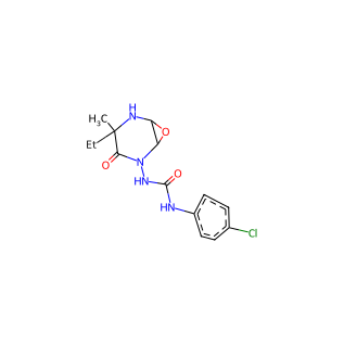 CCC1(C)NC2OC2N(NC(=O)Nc2ccc(Cl)cc2)C1=O